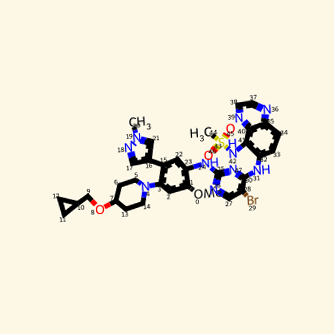 COc1cc(N2CCC(OCC3CC3)CC2)c(-c2cnn(C)c2)cc1Nc1ncc(Br)c(Nc2ccc3nccnc3c2NS(C)(=O)=O)n1